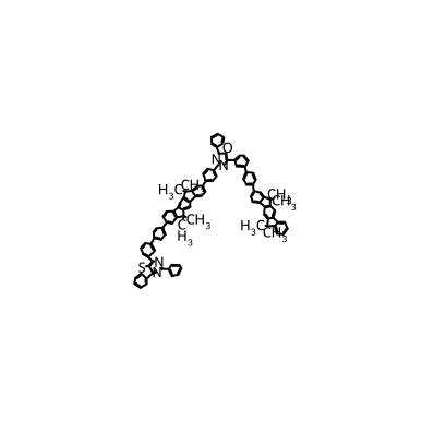 CC1(C)c2ccccc2-c2cc3c(cc21)-c1ccc(-c2ccc(-c4cccc(-c5nc(-c6ccc(-c7ccc8c(c7)C(C)(C)c7cc9c(cc7-8)C(C)(C)c7cc(-c8ccc(-c%10cccc(-c%11nc(-c%12ccccc%12)nc%12c%11sc%11ccccc%11%12)c%10)cc8)ccc7-9)cc6)nc6c5oc5ccccc56)c4)cc2)cc1C3(C)C